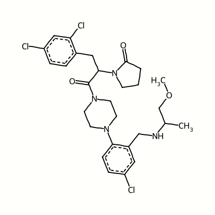 COCC(C)NCc1cc(Cl)ccc1N1CCN(C(=O)C(Cc2ccc(Cl)cc2Cl)N2CCCC2=O)CC1